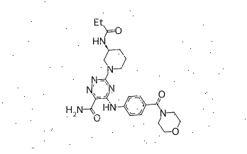 CCC(=O)N[C@H]1CCCN(c2nnc(C(N)=O)c(Nc3ccc(C(=O)N4CCOCC4)cc3)n2)C1